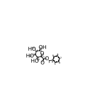 O=C(OCc1ccccc1)C1OC(O)C(O)C(O)C1O